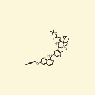 CC#CCOc1cnc2c(Nc3cnc(F)c([C@]4(C)CS(=O)(=O)[C@@](CF)(C5CC5)/C(=N/C(=O)OC(C)(C)C)N4)c3)nccc2c1